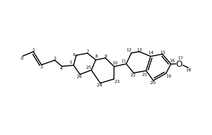 CC=CCCC1CCC2CC(C3CCc4cc(OC)ccc4C3)CCC2C1